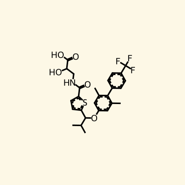 Cc1cc(OC(c2ccc(C(=O)NCC(O)C(=O)O)s2)C(C)C)cc(C)c1-c1ccc(C(F)(F)F)cc1